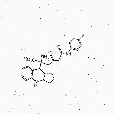 NC(CC(=O)CC(=O)Nc1ccc(F)cc1)(C(=O)O)C1c2ccccc2NC2CCCC21